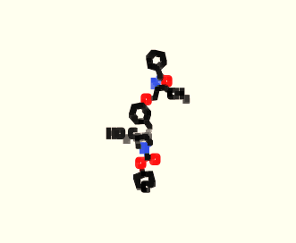 Cc1oc(-c2ccccc2)nc1COc1cccc(C[C@@H]2CN(C(=O)Oc3ccccc3)C[C@@H]2C(=O)O)c1